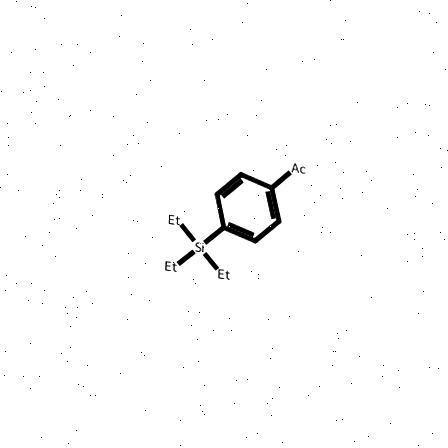 CC[Si](CC)(CC)c1ccc(C(C)=O)cc1